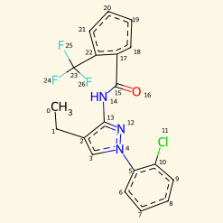 CCc1cn(-c2ccccc2Cl)nc1NC(=O)c1ccccc1C(F)(F)F